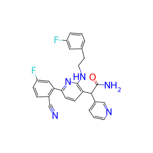 N#Cc1ccc(F)cc1-c1ccc(C(C(N)=O)c2cccnc2)c(NCCc2cccc(F)c2)n1